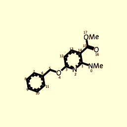 CNc1nc(OCc2ccccc2)ccc1C(=O)OC